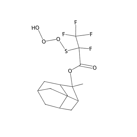 CC1(OC(=O)C(F)(SOOO)C(F)(F)F)C2CC3CC(C2)CC1C3